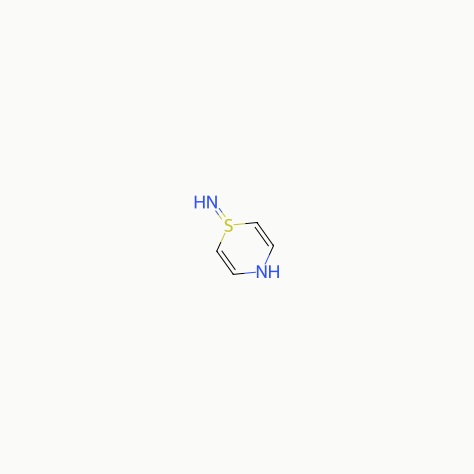 N=S1C=CNC=C1